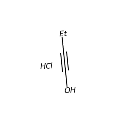 CCC#CO.Cl